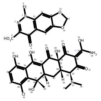 CCn1nc(C(=O)O)c(=O)c2cc3c(cc21)OCO3.CN(C)[C@@H]1C(=O)/C(=C(\N)O)C(=O)[C@@]2(O)C(=O)C3=C(O)c4c(O)ccc(Cl)c4[C@@](C)(O)[C@H]3C[C@@H]12